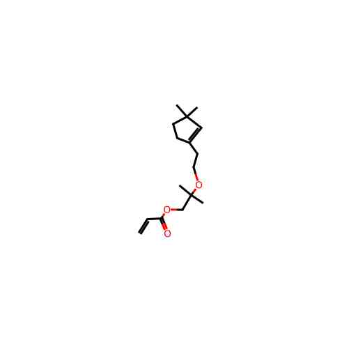 C=CC(=O)OCC(C)(C)OCCC1=CC(C)(C)CC1